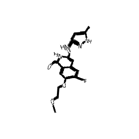 COCCOc1cc2c(=O)[nH]c(Nc3cc(C)[nH]n3)cc2cc1F